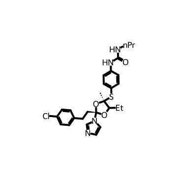 CCCNC(=O)Nc1ccc(S[C@]2(C)O[C@@](CCc3ccc(Cl)cc3)(n3ccnc3)OC2CC)cc1